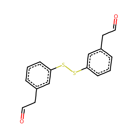 O=CCc1cccc(SSc2cccc(CC=O)c2)c1